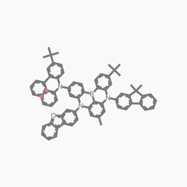 Cc1cc2c3c(c1)N(c1ccc4c(c1)C(C)(C)c1ccccc1-4)c1cc(C(C)(C)C)ccc1B3c1ccc(N(c3ccccc3)c3ccc(C(C)(C)C)cc3-c3ccccc3)cc1N2c1ccc2c(c1)oc1ccccc12